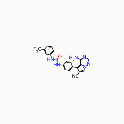 N#Cc1cn2ncnc(N)c2c1-c1ccc(NC(=O)Nc2cccc(C(F)(F)F)c2)cc1